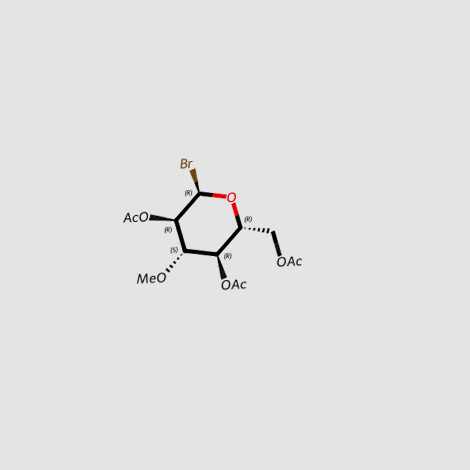 CO[C@@H]1[C@@H](OC(C)=O)[C@@H](Br)O[C@H](COC(C)=O)[C@H]1OC(C)=O